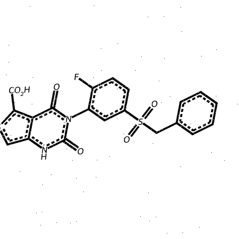 O=C(O)c1scc2[nH]c(=O)n(-c3cc(S(=O)(=O)Cc4ccccc4)ccc3F)c(=O)c12